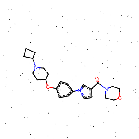 O=C(c1ccn(-c2ccc(OC3CCN(C4CCC4)CC3)cc2)c1)N1CCOCC1